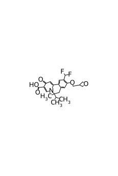 CC(C)C1(C)Cc2cc(OCC3COC3)c(C(F)F)cc2-c2cc(=O)c(C(=O)O)cn21